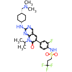 CC(C)n1c(=O)c(-c2ccc(NS(=O)(=O)CCC(F)(F)F)c(F)c2)cc2cnc(N[C@H]3CC[C@@H](CN(C)C)CC3)nc21